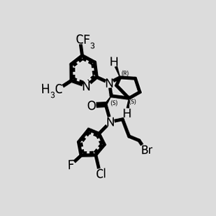 Cc1cc(C(F)(F)F)cc(N2[C@@H]3CC[C@@H](C3)[C@H]2C(=O)N(CCCBr)c2ccc(F)c(Cl)c2)n1